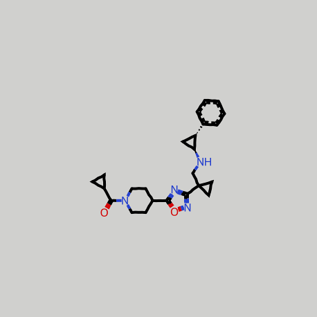 O=C(C1CC1)N1CCC(c2nc(C3(CN[C@H]4C[C@@H]4c4ccccc4)CC3)no2)CC1